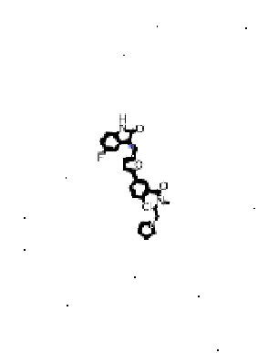 CN(CCN1CCCC1)C(=O)c1cc(-c2ccc(/C=C3/C(=O)Nc4ccc(F)cc43)o2)ccc1Cl